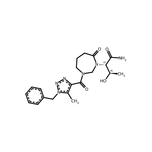 Cc1c(C(=O)N2CCCC(=O)N([C@H](C(N)=O)[C@@H](C)O)C2)nnn1Cc1ccccc1